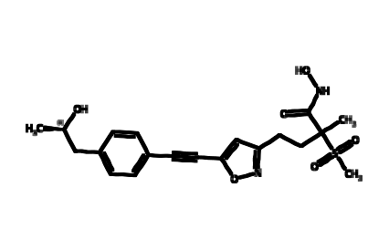 C[C@@H](O)Cc1ccc(C#Cc2cc(CCC(C)(C(=O)NO)S(C)(=O)=O)no2)cc1